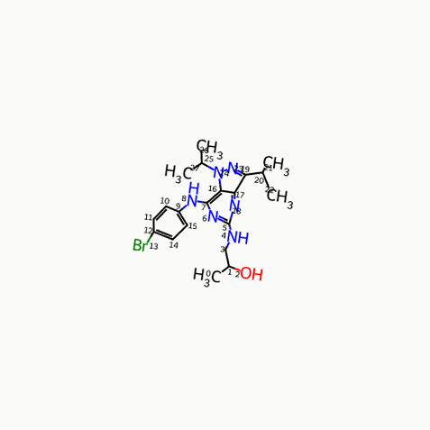 CC(O)CNc1nc(Nc2ccc(Br)cc2)c2c(n1)c(C(C)C)nn2C(C)C